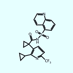 O=C(NS(=O)(=O)c1cccc2ncccc12)C1(c2ccc(C(F)(F)F)nc2C2CC2)CC1